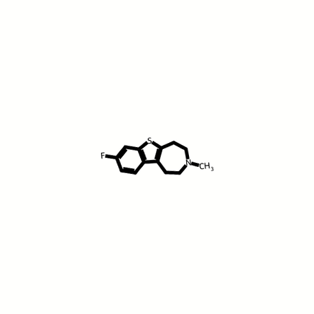 CN1CCc2sc3cc(F)ccc3c2CC1